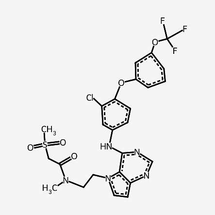 CN(CCn1ccc2ncnc(Nc3ccc(Oc4cccc(OC(F)(F)F)c4)c(Cl)c3)c21)C(=O)CS(C)(=O)=O